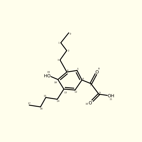 CCCCc1cc(C(=O)C(=O)O)cc(CCCC)c1O